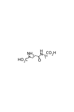 C[C@H](NC(=O)CC[C@H](N)C(=O)O)C(=O)O